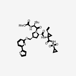 C=C[C@H]1C[C@]1(NC(=O)[C@@H]1C[C@@H](COc2cccc(-c3cccs3)n2)CN1C(=O)[C@@H](NC(=O)OC)C(C)(C)C)C(=O)NS(=O)(=O)C1CC1